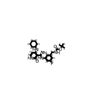 CC(C)(C)OC(=O)NCc1cc(F)cc(NC(=N)c2c(NC3CCCCC3)cc[nH]c2=O)c1